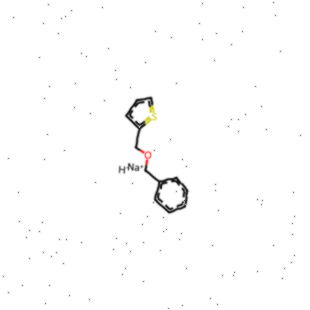 [H-].[Na+].c1ccc(COCc2cccs2)cc1